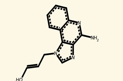 Nc1nc2ccccc2c2c1ncn2CC=CO